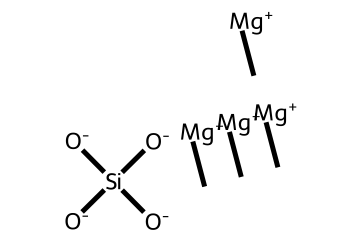 [CH3][Mg+].[CH3][Mg+].[CH3][Mg+].[CH3][Mg+].[O-][Si]([O-])([O-])[O-]